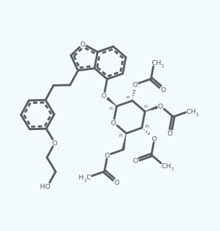 CC(=O)OC[C@H]1O[C@@H](Oc2cccc3occ(CCc4cccc(OCCO)c4)c23)[C@H](OC(C)=O)[C@@H](OC(C)=O)[C@@H]1OC(C)=O